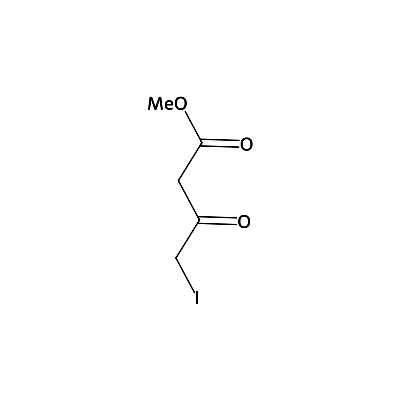 COC(=O)CC(=O)CI